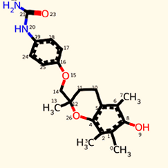 Cc1c(C)c2c(c(C)c1O)CCC(C)(COc1ccc(NC(N)=O)cc1)O2